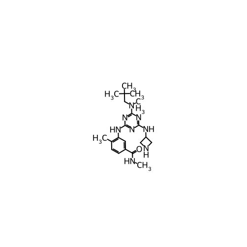 CNC(=O)c1ccc(C)c(Nc2nc(NC3CNC3)nc(N(C)CC(C)(C)C)n2)c1